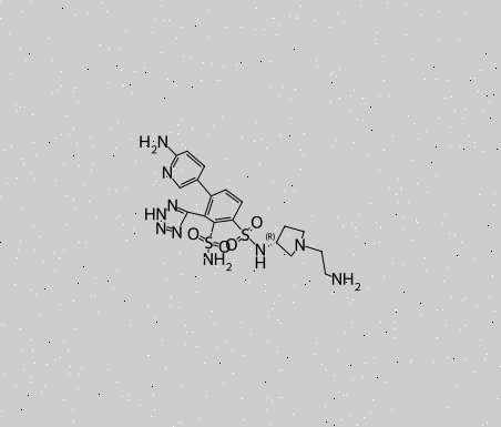 NCCN1CC[C@@H](NS(=O)(=O)c2ccc(-c3ccc(N)nc3)c(-c3nn[nH]n3)c2S(N)(=O)=O)C1